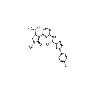 C[C@H](Nc1nccc(N2C(=O)N(C)CC2[C@@H](C)O)n1)c1cn(-c2ccc(Cl)cc2)cn1